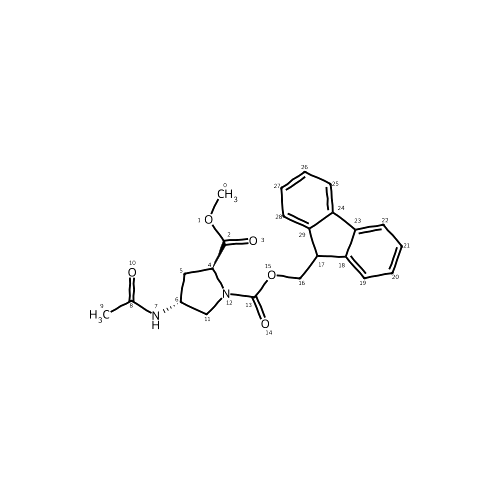 COC(=O)[C@@H]1C[C@@H](NC(C)=O)CN1C(=O)OCC1c2ccccc2-c2ccccc21